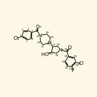 O=C(c1ccc(Cl)cc1)N1CCN(C2CN(C(=O)c3ccc(F)c(Cl)c3)CC2O)CC1